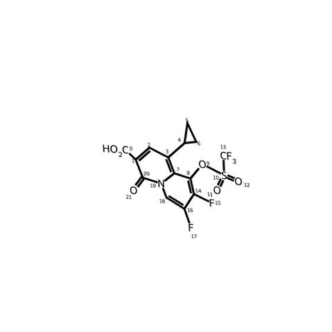 O=C(O)c1cc(C2CC2)c2c(OS(=O)(=O)C(F)(F)F)c(F)c(F)cn2c1=O